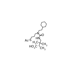 CC(=O)SCCCN(CCC1CCCCC1)C(=O)NCC(C)(C)[C@H](C)C(=O)O